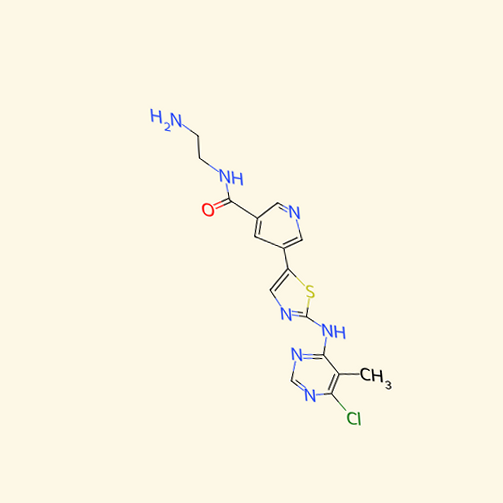 Cc1c(Cl)ncnc1Nc1ncc(-c2cncc(C(=O)NCCN)c2)s1